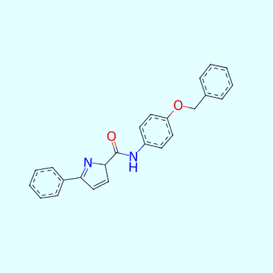 O=C(Nc1ccc(OCc2ccccc2)cc1)C1C=CC(c2ccccc2)=N1